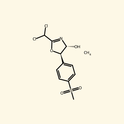 C.CS(=O)(=O)c1ccc([C@H]2OC(C(Cl)Cl)=N[C@@H]2O)cc1